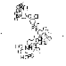 CC1COc2ccccc2N1C(=O)C(Cl)Cl.CCOCN(C(=O)CCl)c1c(C)cccc1CC.CP(=O)(O)CCC(N)C(=O)O.CS(=O)(=O)NC(=O)c1cc(Oc2ccc(C(F)(F)F)cc2Cl)ccc1[N+](=O)[O-]